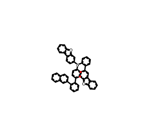 c1ccc(-c2ccc3ccccc3c2)c(-c2ccc(N(c3ccc4c(c3)oc3ccccc34)c3ccccc3-c3ccc4oc5ccccc5c4c3)cc2)c1